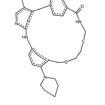 Cc1cnc2nc1-c1ccc(cc1)C(=O)NCCCCOCc1cc(ccc1N1CCCCC1)N2